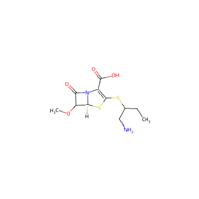 CCC(CN)SC1=C(C(=O)O)N2C(=O)C(OC)[C@@H]2S1